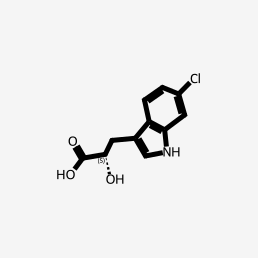 O=C(O)[C@@H](O)Cc1c[nH]c2cc(Cl)ccc12